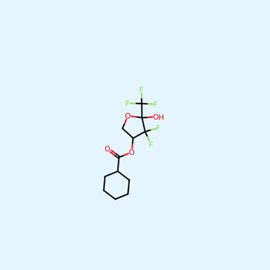 O=C(OC1COC(O)(C(F)(F)F)C1(F)F)C1CCCCC1